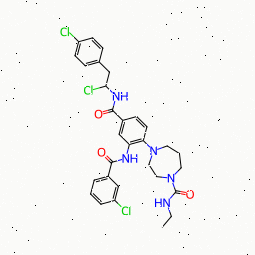 CCNC(=O)N1CCCN(c2ccc(C(=O)NC(Cl)Cc3ccc(Cl)cc3)cc2NC(=O)c2cccc(Cl)c2)CC1